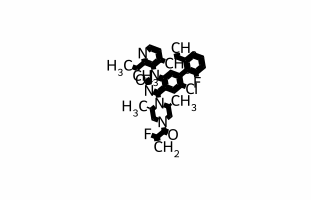 C=Cc1cccc(F)c1-c1cc2c(cc1Cl)c(N1[C@@H](C)CN(C(=O)C(=C)F)C[C@@H]1C)nc(=O)n2-c1c(C)ccnc1C(C)C